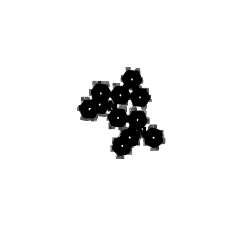 c1ccc(-c2ccccc2-c2ccc(N(c3cccc(-c4cccc5c4c4cc6ccccc6cc4n5-c4ccccc4)c3)c3cc4ccccc4c4ccccc34)cc2)cc1